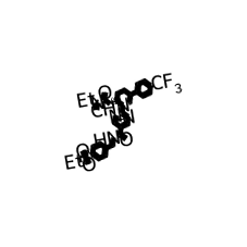 CCN(C)C(=O)C[C@@H]1CCC(c2ccc(C(F)(F)F)cc2)CN1c1ncc(C(=O)NCc2ccc(S(=O)(=O)CC)cc2)cn1